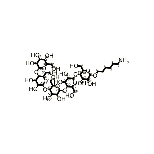 NCCCCCCO[C@H]1OC(CO)[C@@H](O[C@@H]2OC(CO)[C@@H](O[C@@H]3OC(CO)[C@@H](O[C@H]4OC(CO)[C@H](O[C@H]5OC(CO)[C@@H](O)[C@H](O)C5O)[C@H](O)C4O)C(O)[C@@H]3O)C(O)[C@@H]2O)[C@H](O)C1O